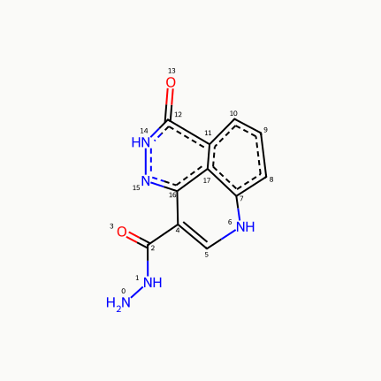 NNC(=O)C1=CNc2cccc3c(=O)[nH]nc1c23